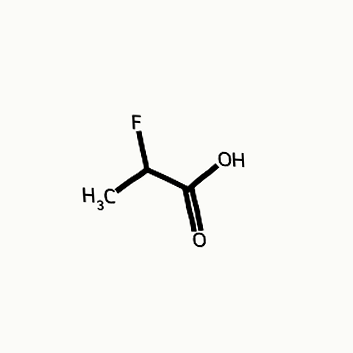 CC(F)C(=O)O